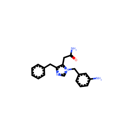 NC(=O)Cc1c(Cc2ccccc2)ncn1Cc1cccc(N)c1